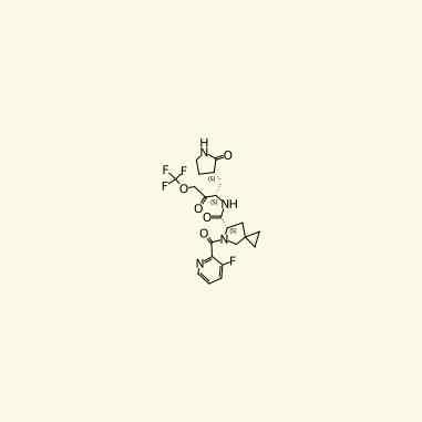 O=C1NCC[C@H]1C[C@H](NC(=O)[C@@H]1CC2(CC2)CN1C(=O)c1ncccc1F)C(=O)COC(F)(F)F